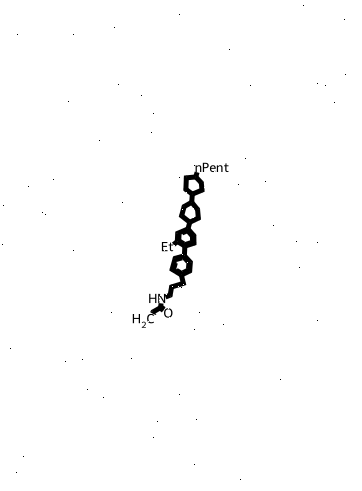 C=CC(=O)NCCCc1ccc(-c2ccc(C3CCC(C4CCC(CCCCC)CC4)CC3)cc2CC)cc1